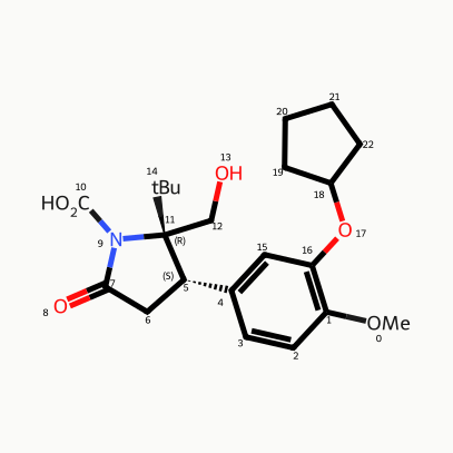 COc1ccc([C@@H]2CC(=O)N(C(=O)O)[C@@]2(CO)C(C)(C)C)cc1OC1CCCC1